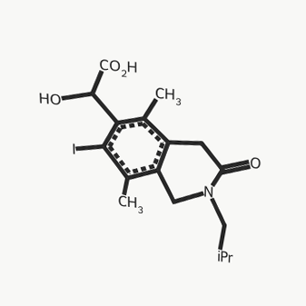 Cc1c(I)c(C(O)C(=O)O)c(C)c2c1CN(CC(C)C)C(=O)C2